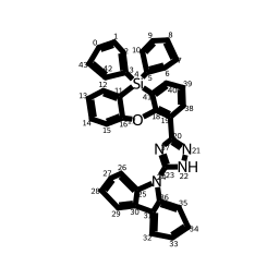 c1ccc([Si]2(c3ccccc3)c3ccccc3Oc3c(-c4n[nH]c(-n5c6ccccc6c6ccccc65)n4)cccc32)cc1